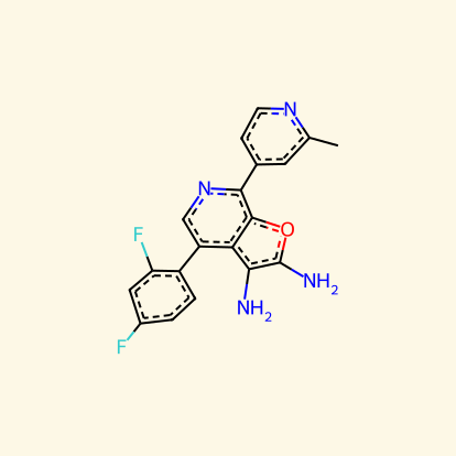 Cc1cc(-c2ncc(-c3ccc(F)cc3F)c3c(N)c(N)oc23)ccn1